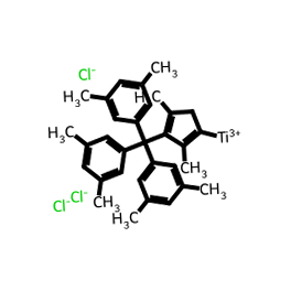 CC1=C(C(c2cc(C)cc(C)c2)(c2cc(C)cc(C)c2)c2cc(C)cc(C)c2)C(C)=[C]([Ti+3])C1.[Cl-].[Cl-].[Cl-]